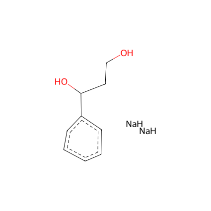 OCCC(O)c1ccccc1.[NaH].[NaH]